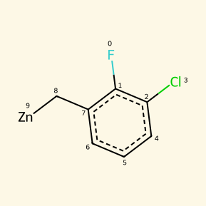 Fc1c(Cl)cccc1[CH2][Zn]